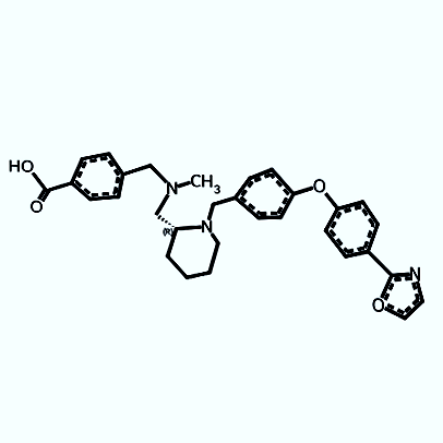 CN(Cc1ccc(C(=O)O)cc1)C[C@H]1CCCCN1Cc1ccc(Oc2ccc(-c3ncco3)cc2)cc1